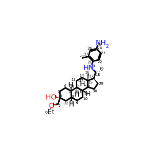 CCOC[C@@]1(O)CC[C@H]2[C@H](CC[C@@H]3[C@@H]2CC[C@]2(C)[C@@H]([C@@H](C)Nc4ccc(N)cc4C)CC[C@@H]32)C1